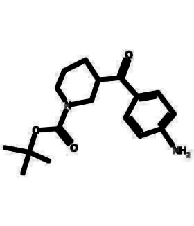 CC(C)(C)OC(=O)N1CCCC(C(=O)c2ccc(N)cc2)C1